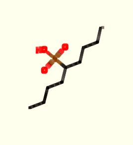 [CH2]CCCC(CCCC)S(=O)(=O)O